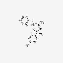 Cc1ccc(S(=O)(=O)N=C(N)NCc2ccccn2)cc1